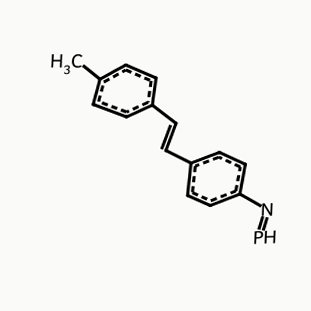 Cc1ccc(/C=C/c2ccc(N=P)cc2)cc1